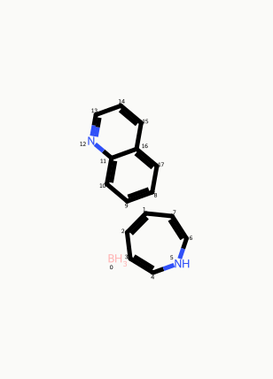 B.C1=CC=CNC=C1.c1ccc2ncccc2c1